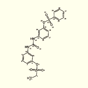 CCS(=O)(=O)Oc1cccc(NC(=O)Nc2cccc(OS(=O)(=O)c3ccccc3)c2)c1